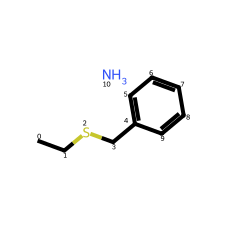 CCSCc1ccccc1.N